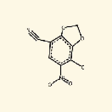 N#Cc1cc([N+](=O)[O-])c(Cl)c2c1OCO2